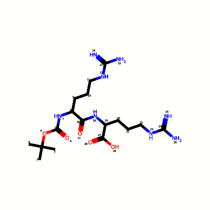 CC(C)(C)OC(=O)NC(CCCNC(=N)N)C(=O)NC(CCCNC(=N)N)C(=O)O